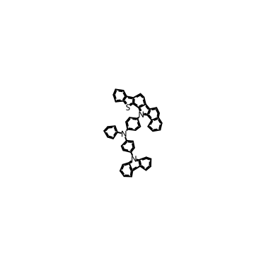 c1ccc(N(c2ccc(-n3c4ccccc4c4ccccc43)cc2)c2ccc(-n3c4c5ccccc5ccc4c4ccc5c6ccccc6sc5c43)cc2)cc1